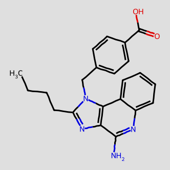 CCCCc1nc2c(N)nc3ccccc3c2n1Cc1ccc(C(=O)O)cc1